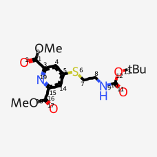 COC(=O)c1cc(SCCNC(=O)OC(C)(C)C)cc(C(=O)OC)n1